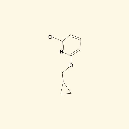 Clc1cccc(OCC2CC2)n1